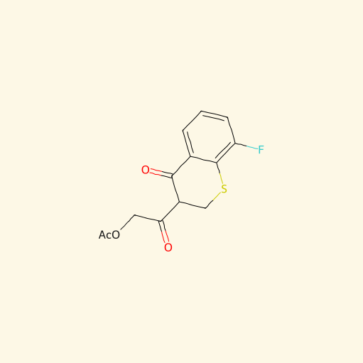 CC(=O)OCC(=O)C1CSc2c(F)cccc2C1=O